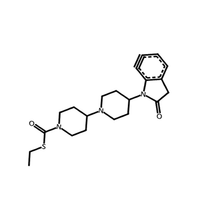 CCSC(=O)N1CCC(N2CCC(N3C(=O)Cc4ccc#cc43)CC2)CC1